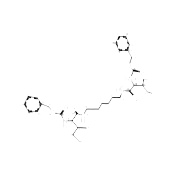 CCC(C)C(NC(=O)OCc1ccccc1)C(=O)NCCCCCCNC(=O)C(NC(=O)OCc1ccccc1)C(C)CC